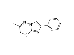 CC1=Nn2cc(-c3ccccc3)nc2SC1